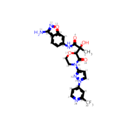 CC(O)(C(=O)Nc1ccc2c(N)noc2c1)C1OCCN(c2ccn(-c3ccnc(C(F)(F)F)c3)n2)C1=O